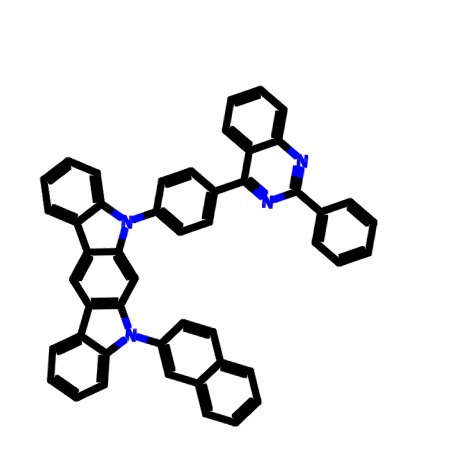 c1ccc(-c2nc(-c3ccc(-n4c5ccccc5c5cc6c7ccccc7n(-c7ccc8ccccc8c7)c6cc54)cc3)c3ccccc3n2)cc1